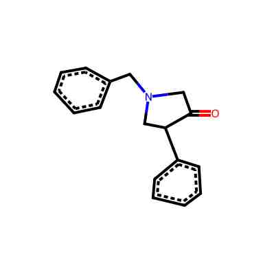 O=C1CN(Cc2ccccc2)CC1c1ccccc1